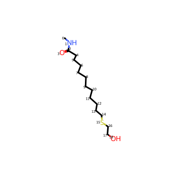 CNC(=O)CCCCCCCCCCCSCCO